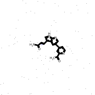 CC(=O)c1cc(-c2cnc3[nH]cc(/C=C/C(N)=O)c3c2)ccn1